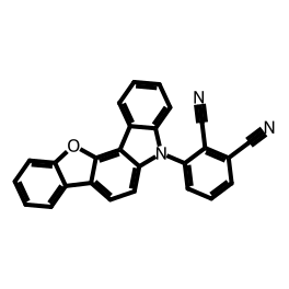 N#Cc1cccc(-n2c3ccccc3c3c4oc5ccccc5c4ccc32)c1C#N